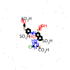 O=C(O)Sc1nc(Cl)nc(Nc2cc(S(=O)(=O)O)cc3cc(SOOO)c(N=Nc4ccc(SC#COOS(=O)(=O)O)cc4S(=O)(=O)O)c(O)c23)n1